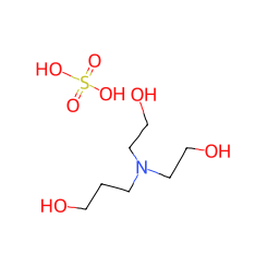 O=S(=O)(O)O.OCCCN(CCO)CCO